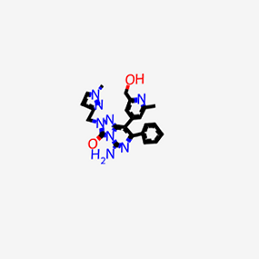 Cc1cc(-c2c(-c3ccccc3)nc(N)n3c(=O)n(Cc4ccn(C)n4)nc23)cc(CO)n1